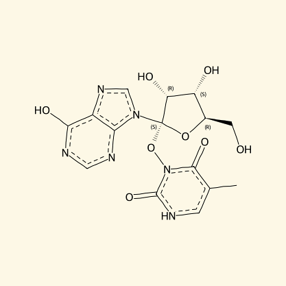 Cc1c[nH]c(=O)n(O[C@@]2(n3cnc4c(O)ncnc43)O[C@H](CO)[C@@H](O)[C@H]2O)c1=O